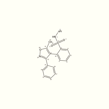 CCCNS(=O)(=O)c1ccccc1-c1c(-c2ccccc2)noc1C